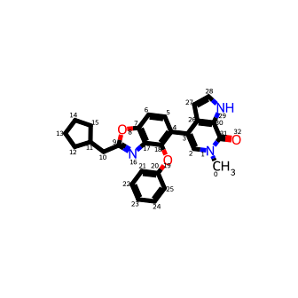 Cn1cc(-c2ccc3oc(CC4CCCC4)nc3c2Oc2ccccc2)c2cc[nH]c2c1=O